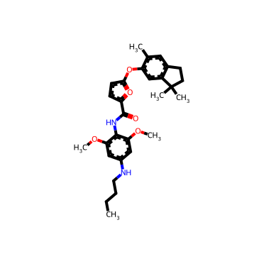 CCCCNc1cc(OC)c(NC(=O)c2ccc(Oc3cc4c(cc3C)CCC4(C)C)o2)c(OC)c1